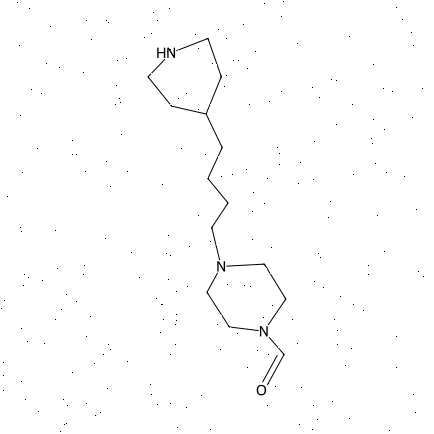 O=CN1CCN(CCCCC2CCNCC2)CC1